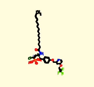 CCCCCCCCCCCCCCCC(=O)N[C@@H](/C=C(/Cl)P(=O)(O)O)Cc1ccc(OCc2cc(OCC(F)(F)F)ccn2)cc1